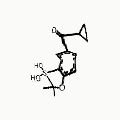 CC1(C)Oc2ccc(C(=O)C3CC3)cc2S1(O)O